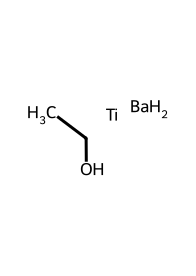 CCO.[BaH2].[Ti]